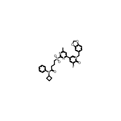 Cc1cc(-c2cc(F)c(=O)n(Cc3ccc4c(c3)OCO4)c2)nc(S(=O)(=O)CCCC(=O)N(c2ccccc2)C2CCC2)n1